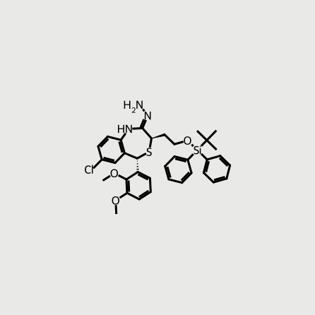 COc1cccc([C@H]2S[C@H](CCO[Si](c3ccccc3)(c3ccccc3)C(C)(C)C)/C(=N/N)Nc3ccc(Cl)cc32)c1OC